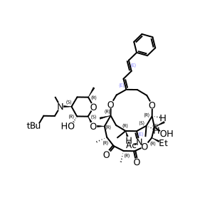 CC[C@H]1OC(=O)[C@H](C)C(=O)[C@H](C)[C@@H](O[C@@H]2O[C@H](C)C[C@H](N(C)CCC(C)(C)C)[C@H]2O)[C@@]2(C)C[C@@H](C)/C(=N\C(C)=O)[C@H](C)[C@@H](OCC/C(=C\C=C\c3ccccc3)CO2)[C@]1(C)O